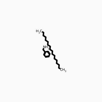 NCc1[c]cccc1.[CH2]CCCCCCCCCCCCCCCCC